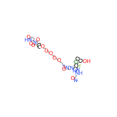 CN(C)C(=O)CCNc1nc(N2CCN(C(=O)/C=C/CCOCCOCCOCCOCCOc3ccc4c(c3)C(=O)N(C3CCC(=O)NC3=O)C4=O)CC2)c2cc(Cl)c(-c3cc(O)cc4ccccc34)c(F)c2n1